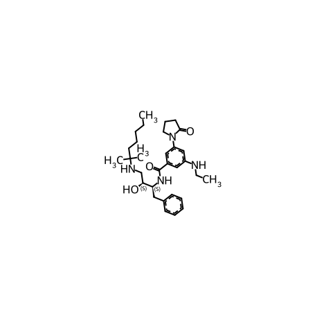 CCCCCC(C)(C)NC[C@H](O)[C@H](Cc1ccccc1)NC(=O)c1cc(NCC)cc(N2CCCC2=O)c1